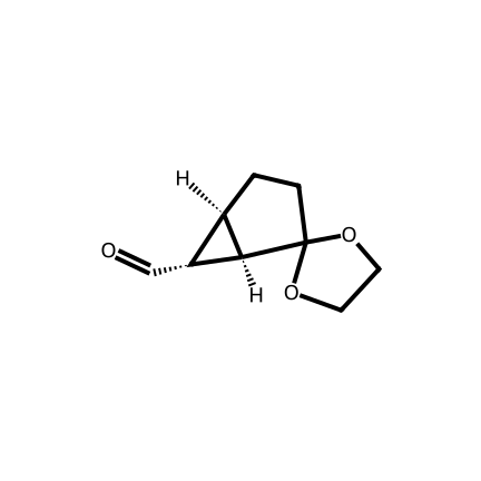 O=C[C@@H]1[C@H]2CCC3(OCCO3)[C@@H]12